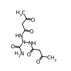 CC(=O)CC(=O)NN(NC(=O)CC(C)=O)C(N)=O